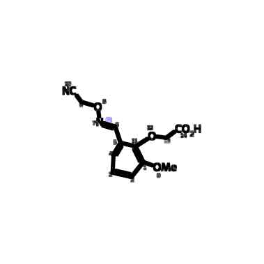 COc1cccc(/C=N/OCC#N)c1OCC(=O)O